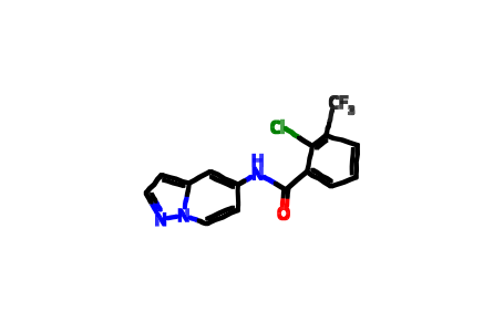 O=C(Nc1ccn2nccc2c1)c1cccc(C(F)(F)F)c1Cl